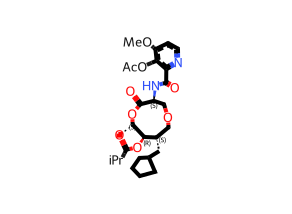 COc1ccnc(C(=O)N[C@H]2COC[C@H](CC3CCCC3)[C@@H](OC(=O)C(C)C)[C@H](C)OC2=O)c1OC(C)=O